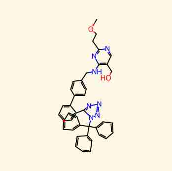 COCCc1ncc(CO)c(NCc2ccc(-c3ccccc3-c3nnnn3C(c3ccccc3)(c3ccccc3)c3ccccc3)cc2)n1